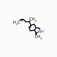 C=C1NCC2CC(C(C)C/C=C\C)=CCC12